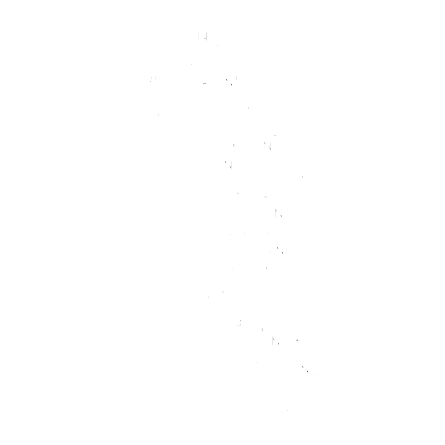 BOc1ncc(-c2ncc(NC(=O)Nc3cc(C)cc(-n4cnc(C)c4)c3)c(C)n2)cc1OCC